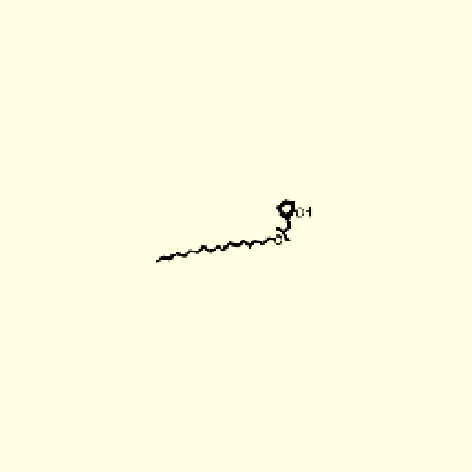 CCCCCCCCCCCCCCCCCCOC(C)(C)Cc1ccccc1O